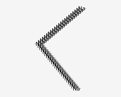 [Na].[Na].[Na].[Na].[Na].[Na].[Na].[Na].[Na].[Na].[Na].[Na].[Na].[Na].[Na].[Na].[Na].[Na].[Na].[Na].[Na].[Na].[Na].[Na].[Na].[Na].[Na].[Na].[Na].[Na].[Na].[Na].[Na].[Na].[Na].[Na].[Na].[Na].[Na].[Na].[Na].[Na].[Na].[Na]